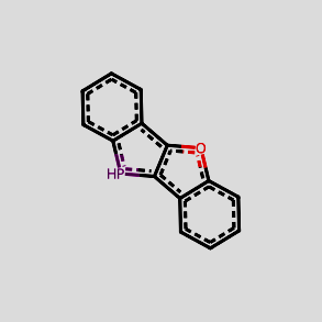 c1ccc2c(c1)oc1c3ccccc3[pH]c21